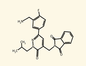 CC(C)Cn1nc(-c2ccc(F)c(CN)c2)cc(CN2C(=O)c3ccccc3C2=O)c1=O